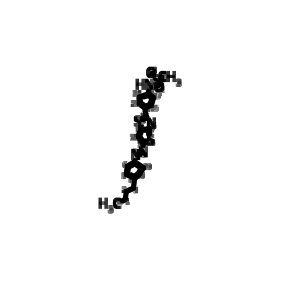 CCCCc1ccc(N=Nc2cc3sc(-c4ccc(NS(C)(=O)=O)cc4)nc3s2)cc1